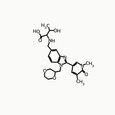 Cc1cc(-c2nc3cc(CNC(C(=O)O)C(C)O)ccc3n2CC2COCCO2)cn(C)c1=O